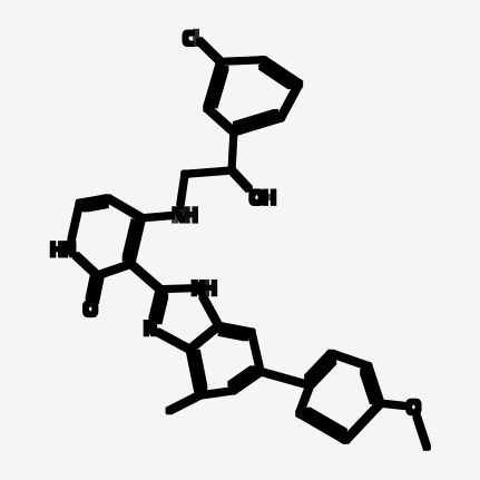 COc1ccc(-c2cc(C)c3nc(-c4c(NCC(O)c5cccc(Cl)c5)cc[nH]c4=O)[nH]c3c2)cc1